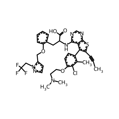 CC#Cc1sc2ncnc(NC(Cc3ccccc3OCc3ccnn3CC(F)(F)F)C(=O)O)c2c1-c1ccc(OCCN(C)C)c(Cl)c1C